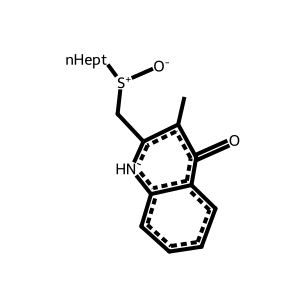 CCCCCCC[S+]([O-])Cc1[nH]c2ccccc2c(=O)c1C